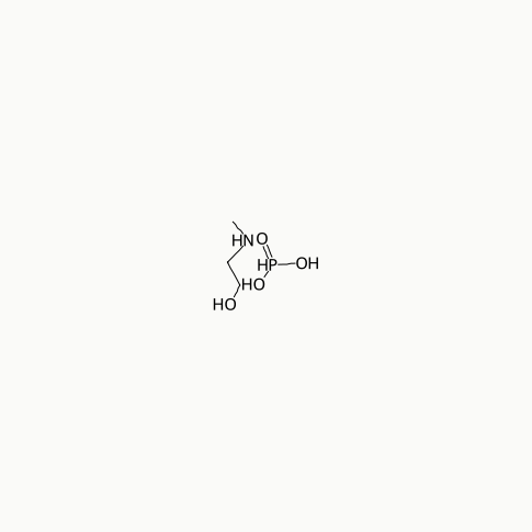 CNCCO.O=[PH](O)O